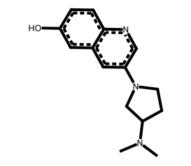 CN(C)C1CCN(c2cnc3ccc(O)cc3c2)C1